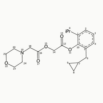 CC(C)c1cccc(CC2CC2)c1OC(=O)COC(=O)CN1CCOCC1